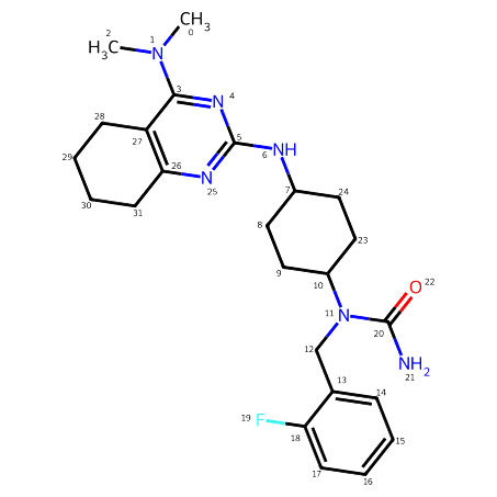 CN(C)c1nc(NC2CCC(N(Cc3ccccc3F)C(N)=O)CC2)nc2c1CCCC2